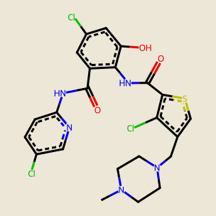 CN1CCN(Cc2csc(C(=O)Nc3c(O)cc(Cl)cc3C(=O)Nc3ccc(Cl)cn3)c2Cl)CC1